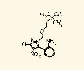 C[Si](C)(C)CCOCn1nc(Cl)c([N+](=O)[O-])c1-c1ccccc1N